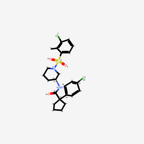 Cc1c(Cl)cccc1S(=O)(=O)N1CCC[C@H](NC(=O)C2(c3ccc(Cl)cc3)CCCC2)C1